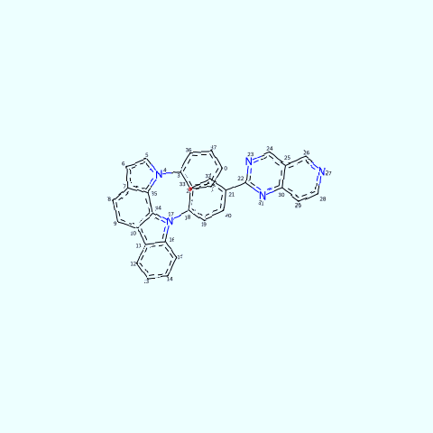 c1ccc(-n2ccc3ccc4c5ccccc5n(-c5ccc(-c6ncc7cnccc7n6)cc5)c4c32)cc1